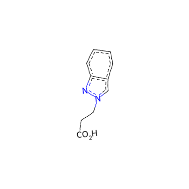 O=C(O)CCn1cc2ccccc2n1